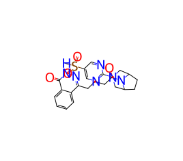 CS(=O)(=O)c1cnc(N2CC3CCC(C2)N3C(=O)CCCc2n[nH]c(=O)c3ccccc23)nc1